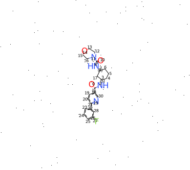 O=C(N[C@H]1CCC[C@@H](NC(=O)N2CCOCC2)C1)c1ccc(-c2cccc(F)c2)nc1